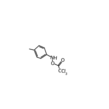 Cc1ccc(NOC(=O)C(Cl)(Cl)Cl)cc1